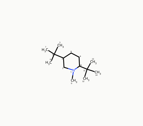 CN1CC(C(C)(C)C)CCC1C(C)(C)C